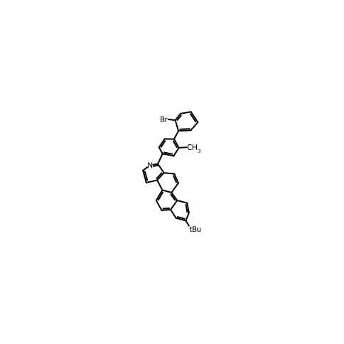 Cc1cc(-c2nccc3c2ccc2c4ccc(C(C)(C)C)cc4ccc32)ccc1-c1ccccc1Br